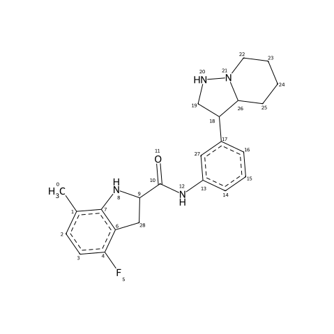 Cc1ccc(F)c2c1NC(C(=O)Nc1cccc(C3CNN4CCCCC34)c1)C2